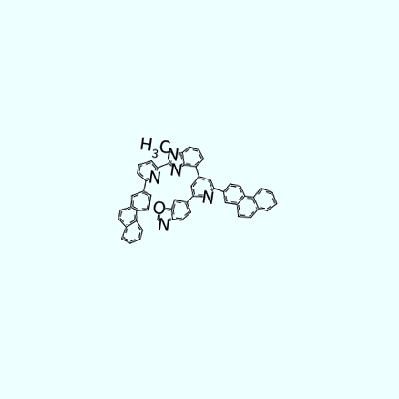 Cn1c(-c2cccc(-c3ccc4c(ccc5ccccc54)c3)n2)nc2c(-c3cc(-c4ccc5c(ccc6ccccc65)c4)nc(-c4ccc5ncoc5c4)c3)cccc21